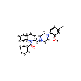 COc1cc(C)ccc1N1CCN(CC2CCc3ccccc3N2C(=O)C2CCCCC2)CC1